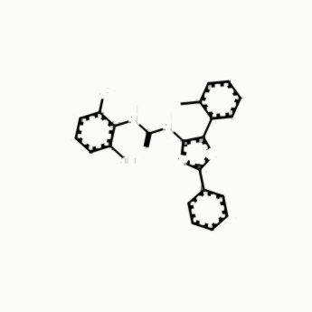 Cc1ccccc1-c1sc(-c2ccccc2)nc1NC(=O)Nc1c(C(C)C)cccc1C(C)C